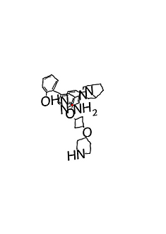 Nc1ncc(-c2ccccc2O)cc1N1CC2CCC(C1)N2c1ccnc(O[C@H]2C[C@H](OC3CCNCC3)C2)c1